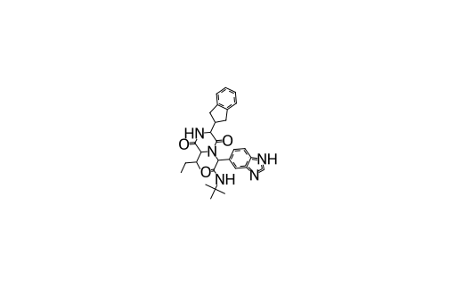 CCC(C)C1C(=O)NC(C2Cc3ccccc3C2)C(=O)N1C(C(=O)NC(C)(C)C)c1ccc2[nH]cnc2c1